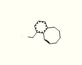 OCc1cccc2c1C=CCCCC2